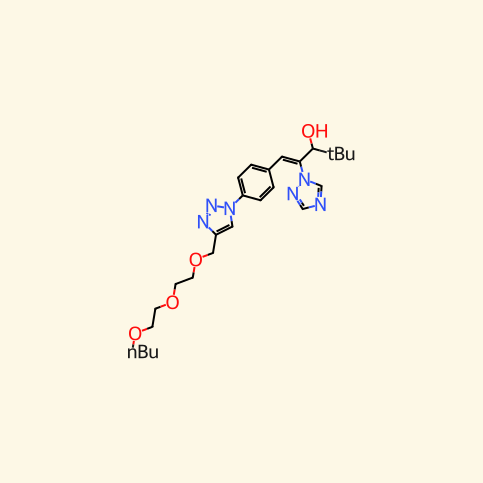 CCCCOCCOCCOCc1cn(-c2ccc(C=C(C(O)C(C)(C)C)n3cncn3)cc2)nn1